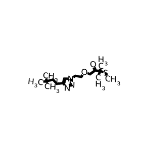 CSC(C)(C)C(=O)COCCn1cc(CCC(C)(C)C)nn1